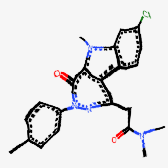 Cc1ccc(-n2nc(CC(=O)N(C)C)c3c4ccc(Cl)cc4n(C)c3c2=O)cc1